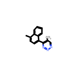 Cc1ccc(-c2nnncc2C(Cl)(Cl)Cl)c2ccccc12